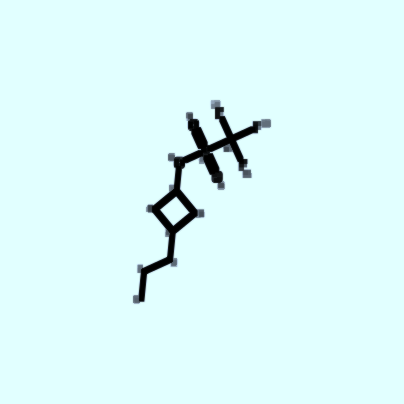 CCCC1CC(OS(=O)(=O)C(F)(F)F)C1